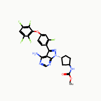 CC(C)(C)OC(=O)NC1CC[C@@H](n2nc(-c3ccc(Oc4c(F)c(F)cc(F)c4F)cc3F)c3c(N)ncnc32)C1